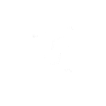 Cc1sc2c(C)csc2c1CC(C)(C)C